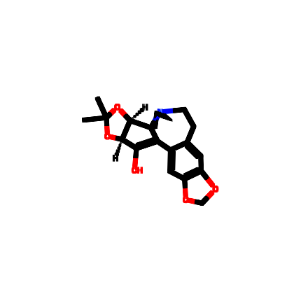 CC1(C)O[C@@H]2C(O)=C3c4cc5c(cc4CCN4CCC[C@]34[C@@H]2O1)OCO5